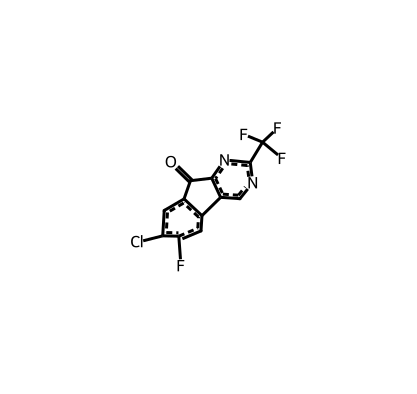 O=C1c2cc(Cl)c(F)cc2-c2cnc(C(F)(F)F)nc21